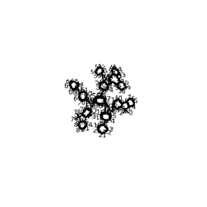 CC1(C)c2ccccc2-c2ccc(N(c3ccc(-c4ccccc4)cc3)c3cc(-c4ccc5c(c4)c4c6ccccc6c6ccccc6c4n5-c4ccccc4)cc(N(c4ccc(-c5ccccc5)cc4)c4ccc5c(c4)C(C)(C)c4ccccc4-5)c3)cc21